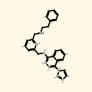 c1ccc(CCNCc2cccc(COc3nnc(-n4ccnn4)c4ccccc34)n2)cc1